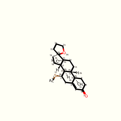 CC(=O)S[C@@H]1CC2=CC(=O)CC[C@]2(C)[C@H]2CC[C@@]3(C)[C@@H](CC[C@@]34CCCO4)[C@H]12